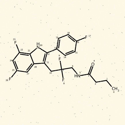 CCCC(=O)NCC(F)(F)Cc1c(-c2ccc(F)cc2)[nH]c2c(F)cc(F)cc12